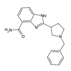 NC(=O)c1cccc2[nH]c(C3CCN(Cc4ccccc4)C3)nc12